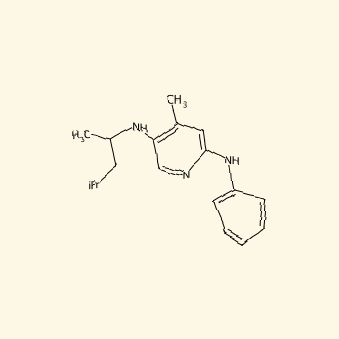 Cc1cc(Nc2ccccc2)ncc1NC(C)CC(C)C